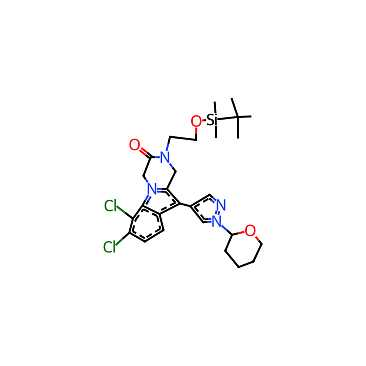 CC(C)(C)[Si](C)(C)OCCN1Cc2c(-c3cnn(C4CCCCO4)c3)c3ccc(Cl)c(Cl)c3n2CC1=O